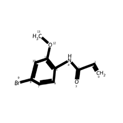 C=CC(=O)Nc1ccc(Br)cc1OC